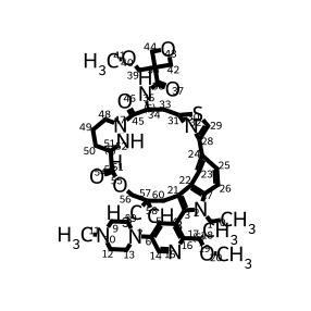 CCn1c(-c2cc(N3CCN(C)CC3)cnc2[C@H](C)OC)c2c3cc(ccc31)-c1csc(n1)C[C@H](NC(=O)C1(COC)COC1)C(=O)N1CCC[C@H](N1)C(=O)OCC(C)(C)C2